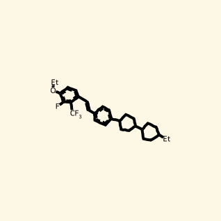 CCOc1ccc(/C=C/c2ccc(C3CCC(C4CCC(CC)CC4)CC3)cc2)c(C(F)(F)F)c1F